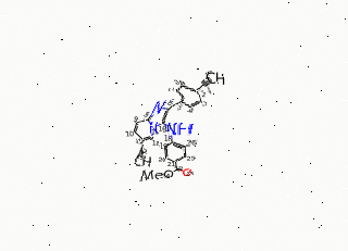 C#Cc1ccc(-c2nc3ccc(C#C)cn3c2Nc2ccc(C(=O)OC)cc2)cc1